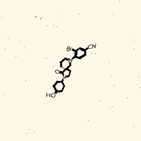 N#Cc1ccc(N2CCC[C@@]3(CCN(C4CCC(O)CC4)C3=O)C2)c(Br)c1